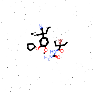 CCC(Br)(CC)C(=O)NC(N)=O.CCCC(C#N)(CCC)c1ccc(OC)c(OC2CCCC2)c1